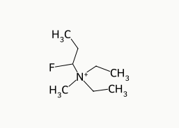 CCC(F)[N+](C)(CC)CC